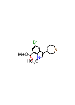 COC(=O)c1cc(Br)cc2c(C3CCCSCC3)cn(C(=O)O)c12